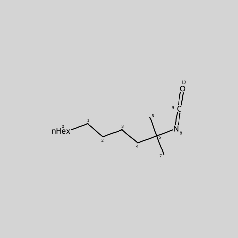 CCCCCCCCCCC(C)(C)N=C=O